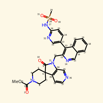 COC(=O)N1CCC2(CC1)C(=O)N(Cc1ncc3ccccc3c1-c1ccc(NS(C)(=O)=O)nc1)c1cnccc12